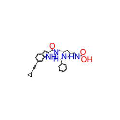 O=C(O)NC[C@@H]1C[C@@H](CNC(=O)c2cc3ccc(C#CC4CC4)cc3[nH]2)N(Cc2ccccc2)C1